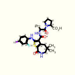 CC(C)C(NC(=O)c1c(Nc2ccc(I)cc2F)sc2c1CC(C)(C)CNC2=O)C(=O)N1CCCC1C(=O)O